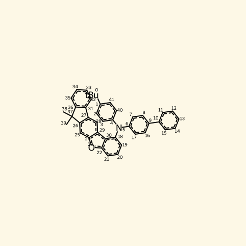 CC(C)(C)c1ccc(N(c2ccc(-c3ccccc3)cc2)c2cccc3oc4cc5c(cc4c23)-c2ccccc2C5(C)C)cc1